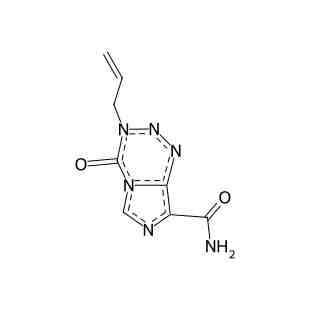 C=CCn1nnc2c(C(N)=O)ncn2c1=O